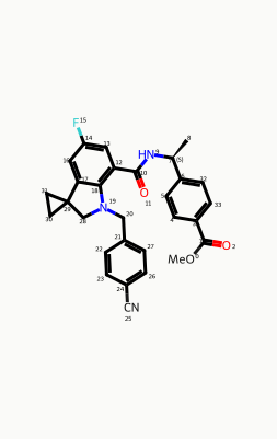 COC(=O)c1ccc([C@H](C)NC(=O)c2cc(F)cc3c2N(Cc2ccc(C#N)cc2)CC32CC2)cc1